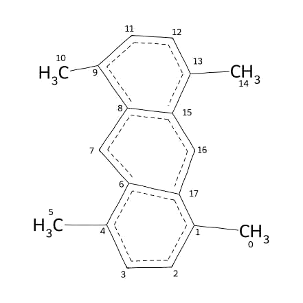 Cc1ccc(C)c2cc3c(C)ccc(C)c3cc12